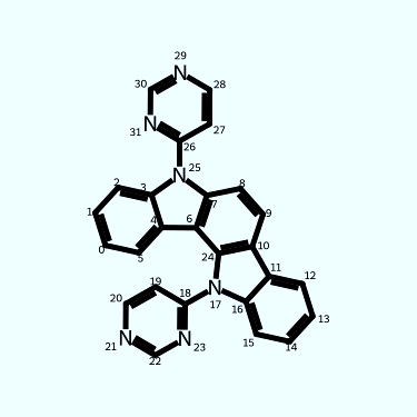 c1ccc2c(c1)c1c(ccc3c4ccccc4n(-c4ccncn4)c31)n2-c1ccncn1